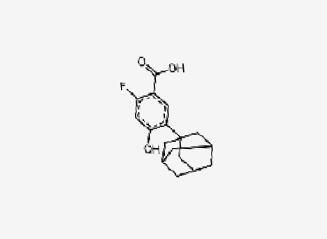 O=C(O)c1cc(C23CC4CC(CC(C4)C2)C3)c(O)cc1F